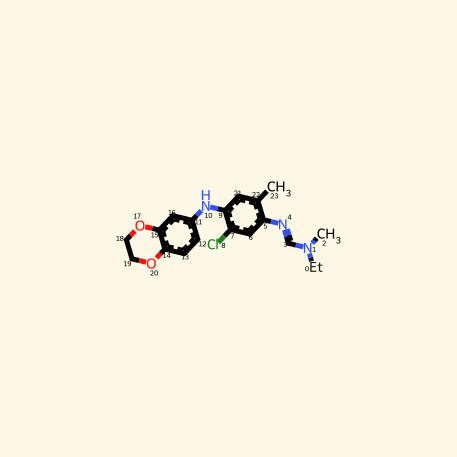 CCN(C)C=Nc1cc(Cl)c(Nc2ccc3c(c2)OCCO3)cc1C